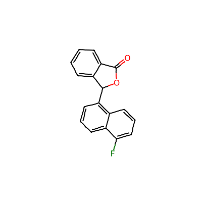 O=C1OC(c2cccc3c(F)cccc23)c2ccccc21